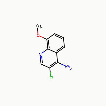 COc1cccc2c(N)c(Cl)cnc12